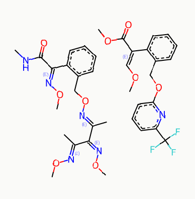 CNC(=O)/C(=N/OC)c1ccccc1CO/N=C(C)/C(=N/OC)C(/C)=N/OC.CO/C=C(/C(=O)OC)c1ccccc1COc1cccc(C(F)(F)F)n1